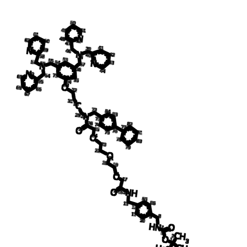 CC(C)(C)OC(=O)NCc1ccc(CNC(=O)COCCOCCOCC(=O)N(CCCCOc2cc(CN(Cc3ccccn3)Cc3ccccn3)cc(CN(Cc3ccccn3)Cc3ccccn3)c2)Cc2ccc(-c3ccccc3)cc2)cc1